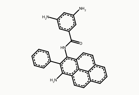 Nc1cc(N)cc(C(=O)Nc2c(-c3ccccc3)c(N)c3ccc4cccc5ccc2c3c45)c1